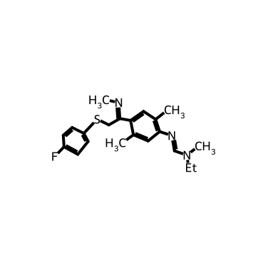 CCN(C)/C=N/c1cc(C)c(/C(CSc2ccc(F)cc2)=N/C)cc1C